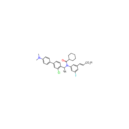 [2H]C(c1ccc(-c2ccc(N(C)C)cc2)cc1Cl)N(C(=O)C1CCCCC1)c1cc(F)cc(/C=C/C(=O)O)c1